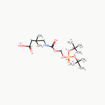 CC(C)(CNC(=O)OCOP(=O)(OC(C)(C)C)OC(C)(C)C)CC(=O)O